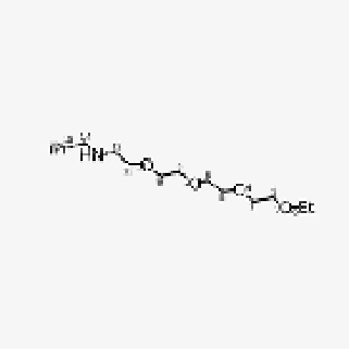 CCOCCOCCOCCOCCNCC(C)C